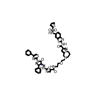 O=C(Nc1nc2ccc(NS(=O)(=O)c3cccs3)cc2s1)c1cc2n(n1)CCCN(CCOCCNC(=O)c1cnc(N/N=C3/C(=O)N(c4nc(-c5ccccc5)cs4)N=C3c3ccccc3)s1)C2